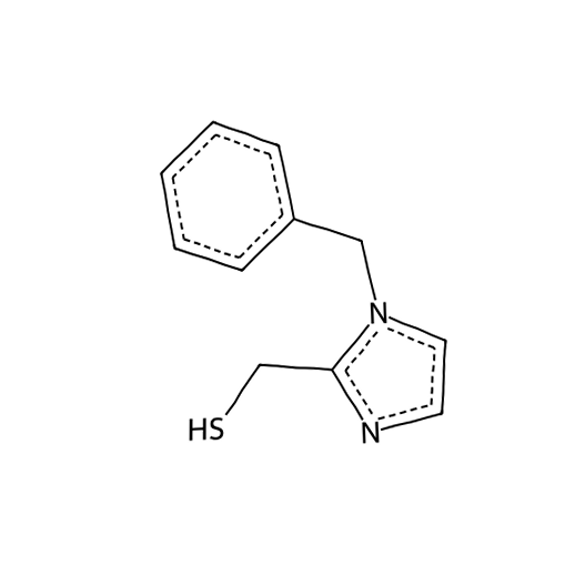 SCc1nccn1Cc1ccccc1